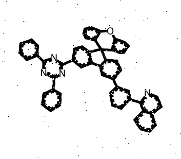 c1ccc(-c2nc(-c3ccccc3)nc(-c3ccc4c(c3)-c3cc(-c5cccc(-c6nccc7ccccc67)c5)ccc3C43c4ccccc4Oc4ccccc43)n2)cc1